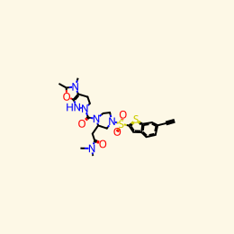 C#Cc1ccc2cc(S(=O)(=O)N3CCN(C(=O)N4CCC5=C(N4)OC(C)N5C)C(CC(=O)N(C)C)C3)sc2c1